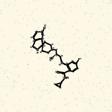 O=C(NC1CC1)c1ccc(F)cc1OC[C@H](O)CN1CCC2(CC1)OCc1ccc(Cl)cc12